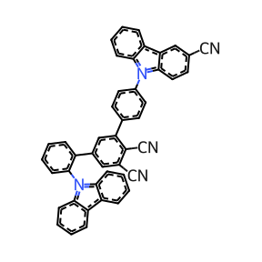 N#Cc1ccc2c(c1)c1ccccc1n2-c1ccc(-c2cc(-c3ccccc3-n3c4ccccc4c4ccccc43)cc(C#N)c2C#N)cc1